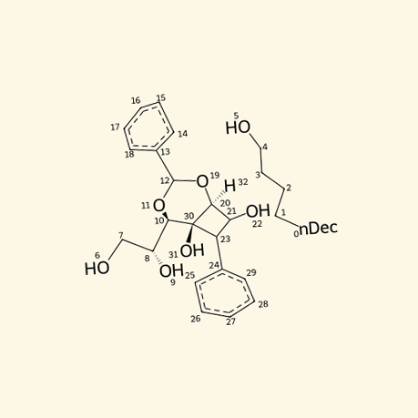 CCCCCCCCCCCCCCO.OC[C@@H](O)[C@H]1OC(c2ccccc2)O[C@H]2C(O)C(c3ccccc3)[C@]12O